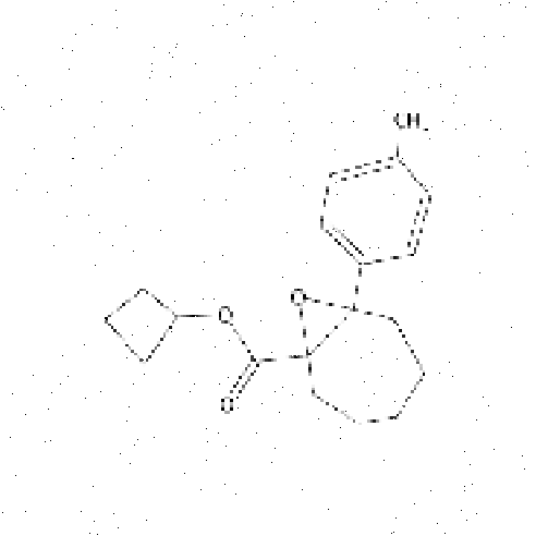 Cc1ccc(C23CCCCCC2(C(=O)OC2CCC2)O3)cc1